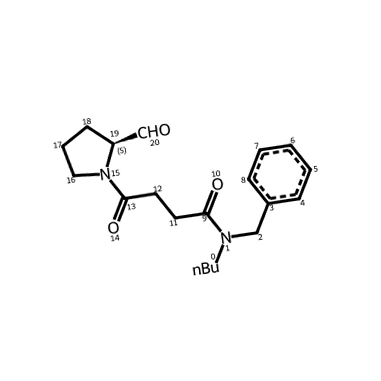 CCCCN(Cc1ccccc1)C(=O)CCC(=O)N1CCC[C@H]1C=O